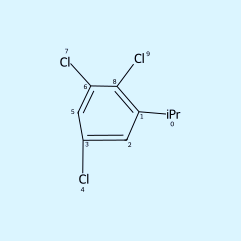 [CH2]C(C)c1cc(Cl)cc(Cl)c1Cl